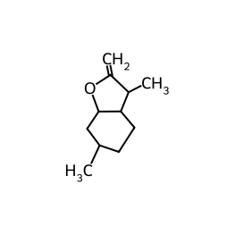 C=C1OC2CC(C)CCC2C1C